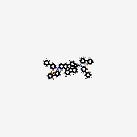 c1ccc(-c2ccc(N(c3ccc4cc5c(cc4c3)C3(c4ccccc4-c4ccccc43)c3c-5ccc4cc(N(c5ccc(-c6ccccc6)cc5)c5cccc6c5oc5ccccc56)ccc34)c3cccc4c3oc3ccccc34)cc2)cc1